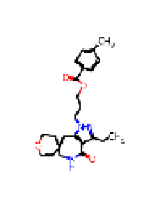 CCc1nn(CCCOC(=O)c2ccc(C)cc2)c2c1C(=O)NCC1(CCOCC1)C2